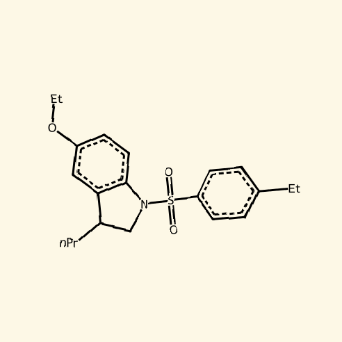 CCCC1CN(S(=O)(=O)c2ccc(CC)cc2)c2ccc(OCC)cc21